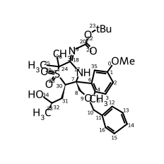 COc1ccc(C)c([C@@]2(COCc3ccccc3)N/C(=N\C(=O)OC(C)(C)C)C(C)(C)S(=O)(=O)[C@@H]2C[C@@H](C)O)c1